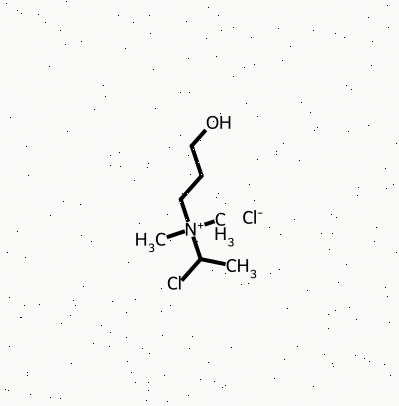 CC(Cl)[N+](C)(C)CCCO.[Cl-]